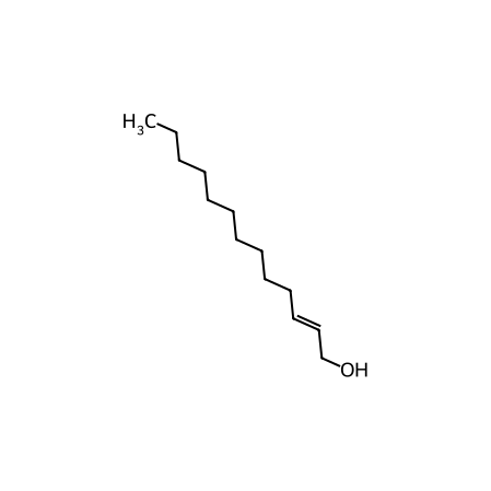 CCCCCCCCCCC=CCO